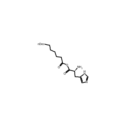 CCCCCCCCCCCCCCCC(=O)OC(=O)[C@@H](N)Cc1cnc[nH]1